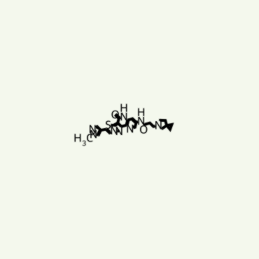 Cn1cc(-c2cn3nc4c5ncc(NC(=O)CCN6CCC7(CC7)C6)cc5[nH]c(=O)c4c3s2)cn1